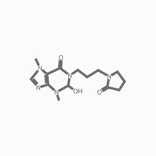 CN1c2ncn(C)c2C(=O)N(CCCN2CCCC2=O)C1O